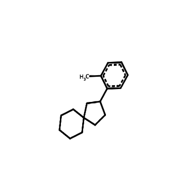 Cc1ccccc1C1CCC2(CCCCC2)C1